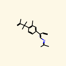 C=C/C(=C\N=C(C)C)c1ccc(C(C)(C)C(=C)C)c(C)c1